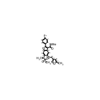 CNC(=O)c1c(-c2ccc(F)cc2)oc2cc(N(C)S(C)(=O)=O)c(OCc3cc(C)on3)cc12